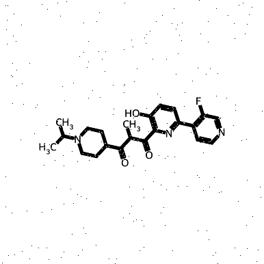 CC(C(=O)c1nc(-c2ccn[c]c2F)ccc1O)C(=O)C1CCN(C(C)C)CC1